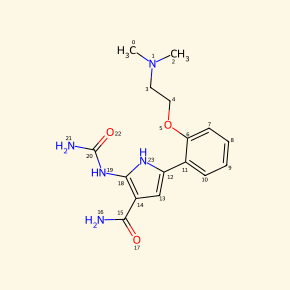 CN(C)CCOc1ccccc1-c1cc(C(N)=O)c(NC(N)=O)[nH]1